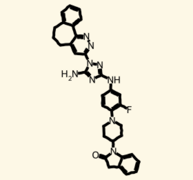 Nc1nc(Nc2ccc(N3CCC(N4C(=O)Cc5ccccc54)CC3)c(F)c2)nn1-c1cc2c(nn1)-c1ccccc1CCC2